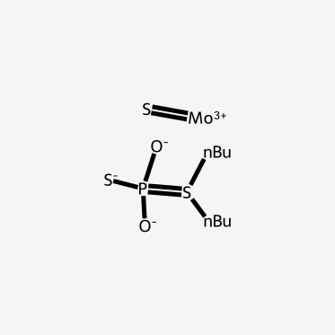 CCCCS(CCCC)=P([O-])([O-])[S-].[S]=[Mo+3]